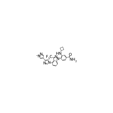 Cn1cc(-c2cn(-c3cccc4c3c(C(F)(F)F)nn4-c3ccc(C(N)=O)cc3NC3CCC3)cn2)cn1